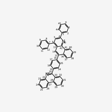 c1ccc(-c2cc(-c3ccccc3)c3cc(-c4ccc(-c5nc6ccccc6c6ccccc56)cc4)c4ccccc4c3n2)cc1